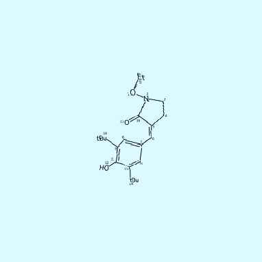 CCON1CC/C(=C/c2cc(C(C)(C)C)c(O)c(C(C)(C)C)c2)C1=O